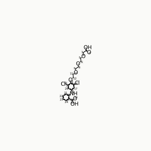 O=C(O)COCCOCCOCCOc1c(Cl)cc(Nc2ccccc2C(=O)O)cc1Cl